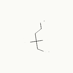 CCCCCCCCCCCCC(CCCCCCCCCCC)(C(=O)[O-])C(=O)[O-].[Ba+2]